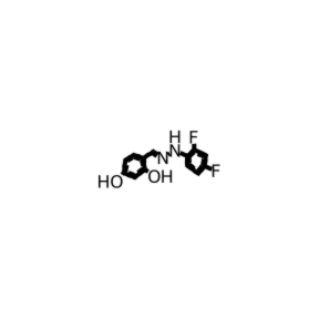 Oc1ccc(C=NNc2ccc(F)cc2F)c(O)c1